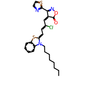 CCCCCCCCN1/C(=C/C=C(Cl)/C=C2\C(=O)ON=C2c2nccs2)Sc2ccccc21